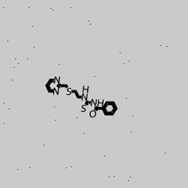 O=C(NC(=S)NCCSCc1ncccn1)c1ccccc1